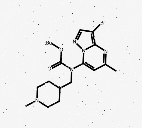 Cc1cc(N(CC2CCN(C)CC2)C(=O)OC(C)(C)C)n2ncc(Br)c2n1